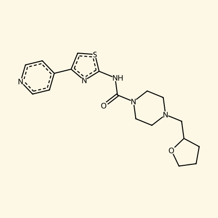 O=C(Nc1nc(-c2ccncc2)cs1)N1CCN(CC2CCCO2)CC1